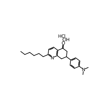 CCCCCCc1ccc2c(n1)CC(c1ccc(N(C)C)cc1)CC2=O.Cl.Cl